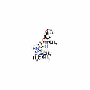 Cc1cnc(N[C@H]2CC[C@@H](C(=O)NC(C)c3ccc(OC(F)(F)F)cc3)CC2)nc1N(C)C